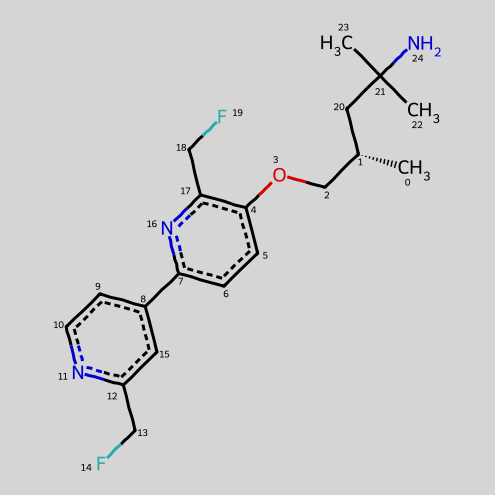 C[C@H](COc1ccc(-c2ccnc(CF)c2)nc1CF)CC(C)(C)N